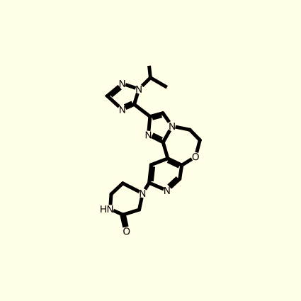 CC(C)n1ncnc1-c1cn2c(n1)-c1cc(N3CCNC(=O)C3)ncc1OCC2